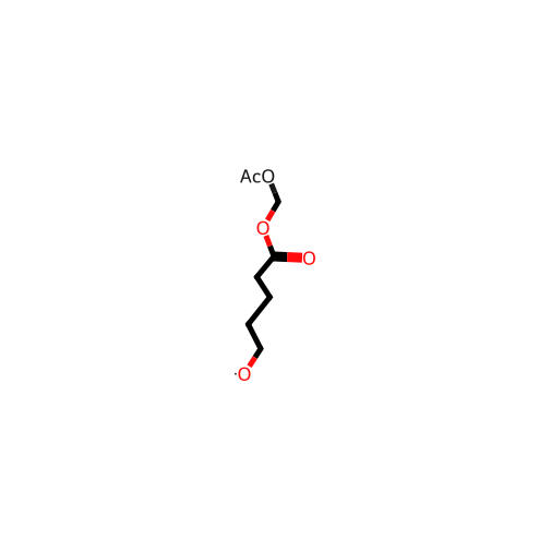 CC(=O)OCOC(=O)CCCC[O]